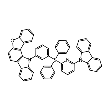 c1ccc(S(c2ccccc2)(c2cccc(-n3c4ccccc4c4ccc5oc6ccccc6c5c43)c2)c2cccc(-n3c4ccccc4c4ccccc43)n2)cc1